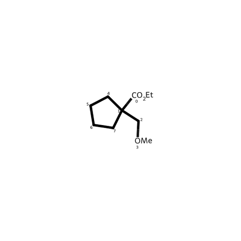 CCOC(=O)C1(COC)CCCC1